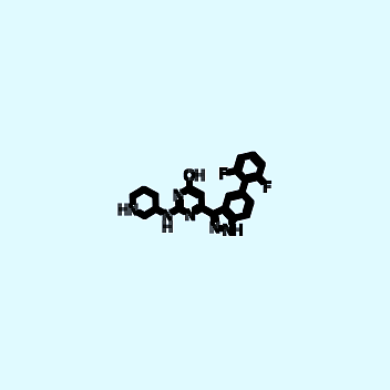 Oc1cc(-c2n[nH]c3ccc(-c4c(F)cccc4F)cc23)nc(NC2CCCNC2)n1